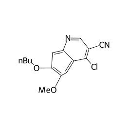 CCCCOc1cc2ncc(C#N)c(Cl)c2cc1OC